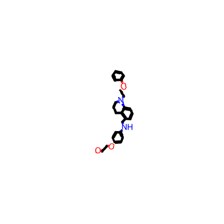 O=CCOc1ccc(NCc2cccc3c2CCCN3CCOc2ccccc2)cc1